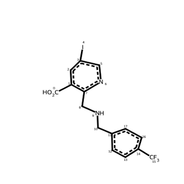 O=C(O)c1cc(I)cnc1CNCc1ccc(C(F)(F)F)cc1